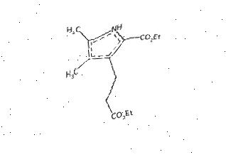 CCOC(=O)CCc1c(C(=O)OCC)[nH]c(C)c1C